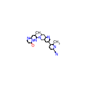 Cc1cc2nccc(=O)n2nc1N1CCc2ncc(-c3ccc(C#N)nc3C)cc2C1